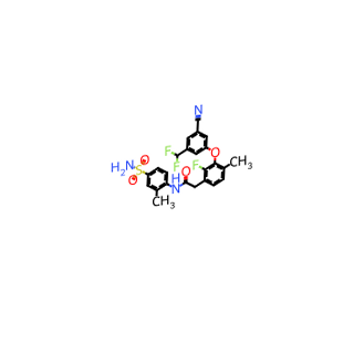 Cc1cc(S(N)(=O)=O)ccc1NC(=O)Cc1ccc(C)c(Oc2cc(C#N)cc(C(F)F)c2)c1F